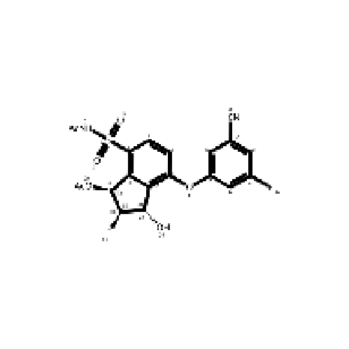 CC(=O)NS(=O)(=O)c1ccc(Oc2cc(F)cc(C#N)c2)c2c1[C@H](OC(C)=O)[C@H](F)[C@H]2O